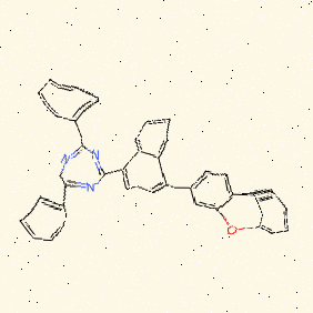 c1ccc(-c2nc(-c3ccccc3)nc(-c3ccc(-c4ccc5c(c4)oc4ccccc45)c4ccccc34)n2)cc1